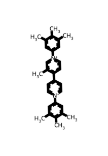 Cc1c[n+](-c2cc(C)c(C)c(C)c2)ccc1-c1cc[n+](-c2cc(C)c(C)c(C)c2)cc1